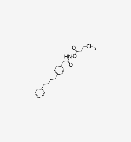 CCCC(=O)ONC(=O)Cc1ccc(CCCCc2ccccc2)cc1